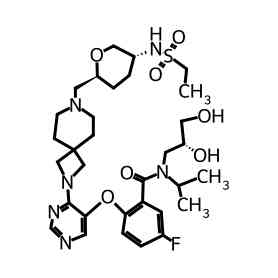 CCS(=O)(=O)N[C@@H]1CC[C@@H](CN2CCC3(CC2)CN(c2ncncc2Oc2ccc(F)cc2C(=O)N(C[C@@H](O)CO)C(C)C)C3)OC1